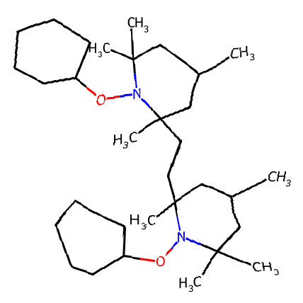 CC1CC(C)(C)N(OC2CCCCC2)C(C)(CCC2(C)CC(C)CC(C)(C)N2OC2CCCCC2)C1